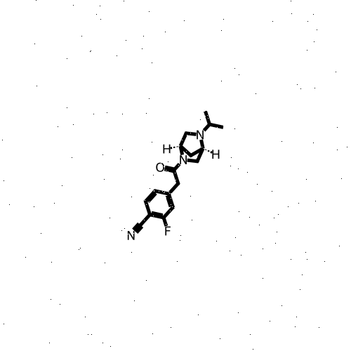 CC(C)N1C[C@H]2C[C@@H]1CN2C(=O)Cc1ccc(C#N)c(F)c1